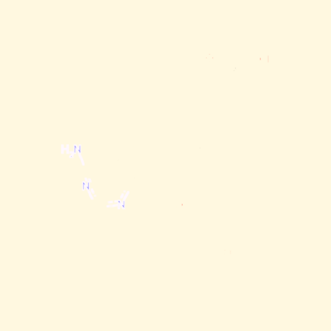 COCCOc1cc(-c2cccc(C(=O)O)c2)cc2sc3c(N)ncnc3c12